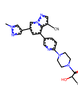 CC(C)C(O)C(=O)N1CCN(c2ccc(-c3cc(-c4cnn(C)c4)cn4ncc(C#N)c34)cn2)CC1